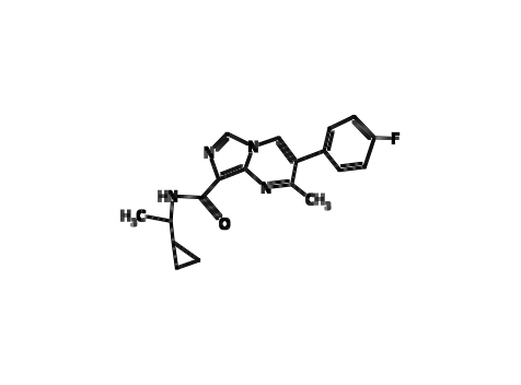 Cc1nc2c(C(=O)NC(C)C3CC3)ncn2cc1-c1ccc(F)cc1